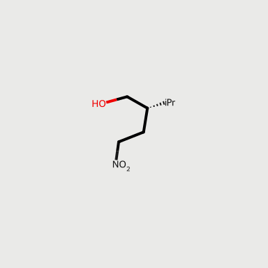 CC(C)[C@@H](CO)CC[N+](=O)[O-]